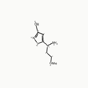 COCCN(N)c1cc(O)ns1